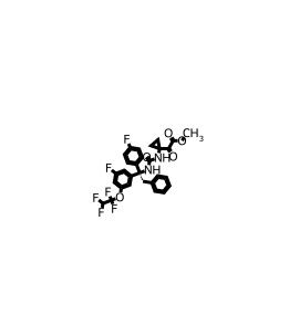 COC(=O)C(=O)C1(NC(=O)N[C@](Cc2ccccc2)(c2ccc(F)cc2)c2cc(F)cc(OC(F)(F)C(F)F)c2)CC1